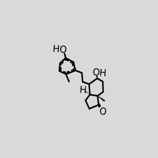 Cc1ccc(O)cc1CCC1[C@@H](O)CC[C@]2(C)C(=O)CC[C@@H]12